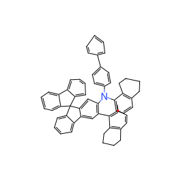 Cc1ccc2c(c1-c1cc3c(cc1N(c1ccc(-c4ccccc4)cc1)c1cccc4c1CCCC4)C1(c4ccccc4-c4ccccc41)c1ccccc1-3)CCCC2